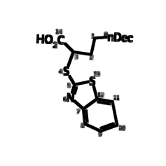 CCCCCCCCCCCCC(Sc1nc2ccccc2s1)C(=O)O